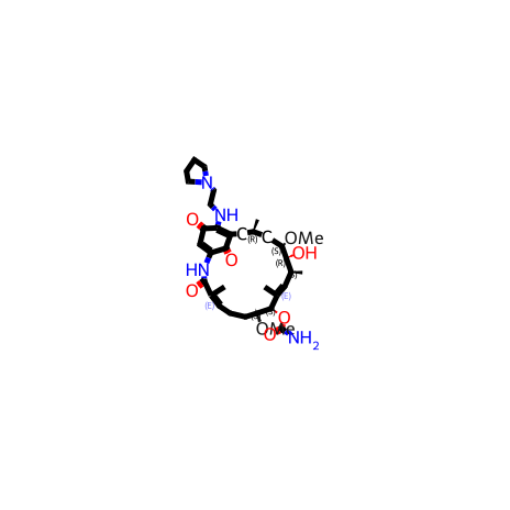 CO[C@H]1C[C@H](C)CC2=C(NCCN3CCCC3)C(=O)C=C(NC(=O)/C(C)=C/CC[C@H](OC)[C@@H](OC(N)=O)/C(C)=C/[C@H](C)[C@H]1O)C2=O